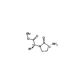 CC(C)[C@@H](C(=O)OC(C)(C)C)N1CC[C@@H](N)C1=O